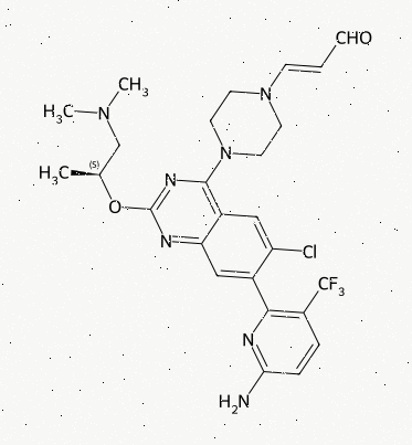 C[C@@H](CN(C)C)Oc1nc(N2CCN(C=CC=O)CC2)c2cc(Cl)c(-c3nc(N)ccc3C(F)(F)F)cc2n1